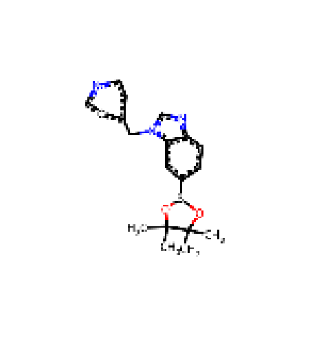 CC1(C)OB(c2ccc3ncn(Cc4ccncc4)c3c2)OC1(C)C